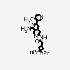 CCCC1(CCC)CC(=CC(=O)Nc2cc3cc(-c4cnccc4C)nc(N)c3cn2)C1